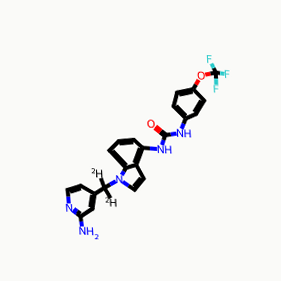 [2H]C([2H])(c1ccnc(N)c1)n1ccc2c(NC(=O)Nc3ccc(OC(F)(F)F)cc3)cccc21